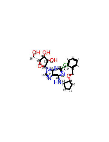 Cc1ccccc1CO[C@H]1CCC[C@@H]1Nc1nc(Cl)nc2c1ncn2[C@@H]1O[C@H](CO)[C@@H](O)[C@H]1O